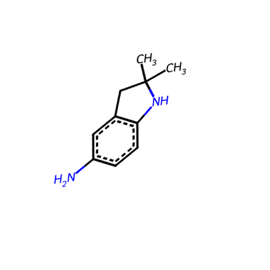 CC1(C)Cc2cc(N)ccc2N1